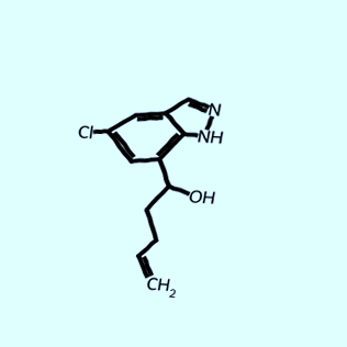 C=CCCC(O)c1cc(Cl)cc2cn[nH]c12